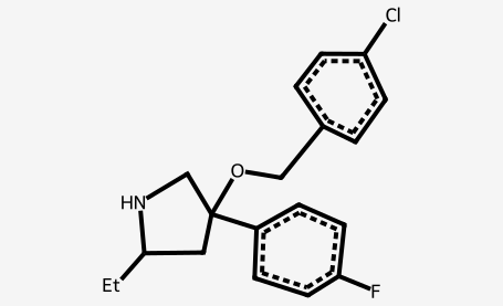 CCC1CC(OCc2ccc(Cl)cc2)(c2ccc(F)cc2)CN1